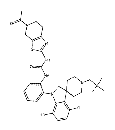 CC(=O)N1CCc2nc(NC(=O)Nc3ccccc3N3CC4(CCN(CC(C)(C)C)CC4)c4c(Cl)ccc(O)c43)sc2C1